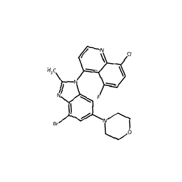 Cc1nc2c(Br)cc(N3CCOCC3)cc2n1-c1ccnc2c(Cl)ccc(F)c12